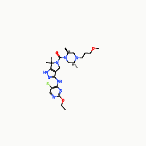 CCOc1ncc(F)c(Nc2n[nH]c3c2CN(C(=O)N2C[C@@H](C)N(CCCOC)C[C@@H]2C)C3(C)C)n1